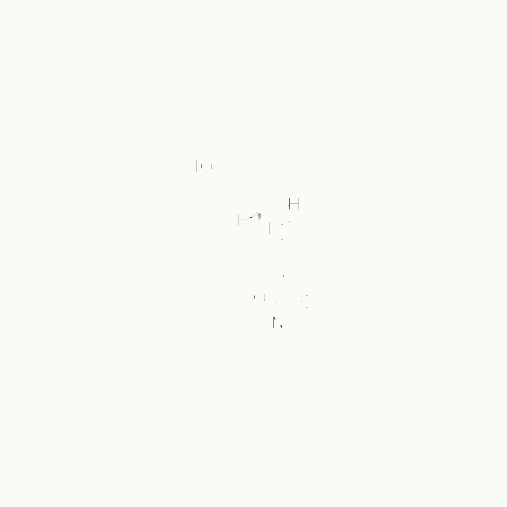 CC(OC(=O)C(=O)N1CCC1)[C@H]1CC[C@H]2[C@@H]3CC=C4C[C@@H](O)CC[C@]4(C)[C@H]3CC[C@]12C